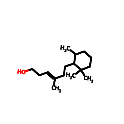 CC(=CCCO)CCC1C(C)CCCC1(C)C